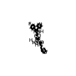 CC1(CN(S)C(=O)NCCN2CCOCC2)COC(c2nc(-c3ccc(F)cc3)c(-c3ccncc3)[nH]2)OC1